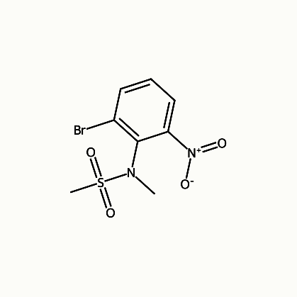 CN(c1c(Br)cccc1[N+](=O)[O-])S(C)(=O)=O